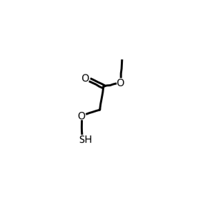 COC(=O)COS